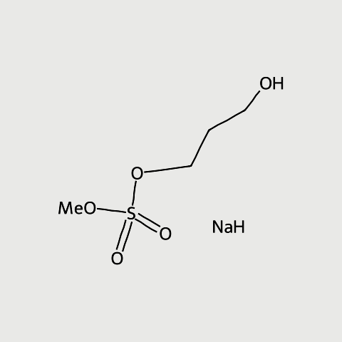 COS(=O)(=O)OCCCO.[NaH]